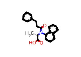 C[C@@H](C(=O)O)N(C(=O)CCc1ccccc1)c1cccc2ccccc12